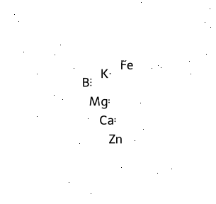 [B].[Ca].[Fe].[K].[Mg].[Zn]